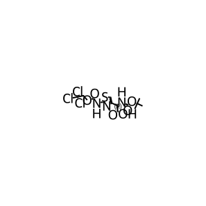 CC(C)(C)OC(=O)N[C@@H](C(=O)O)c1csc(NC(=O)OCC(Cl)(Cl)Cl)n1